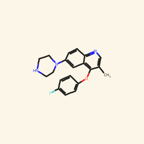 Cc1cnc2ccc(N3CCNCC3)cc2c1Oc1ccc(F)cc1